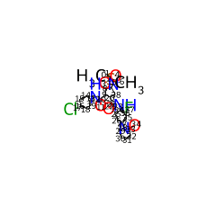 CCS(=O)(=O)N(C)C1CC(C(=O)Nc2ccc(Cl)cc2)C(C(=O)Nc2ccc(-n3ccccc3=O)cc2F)C1